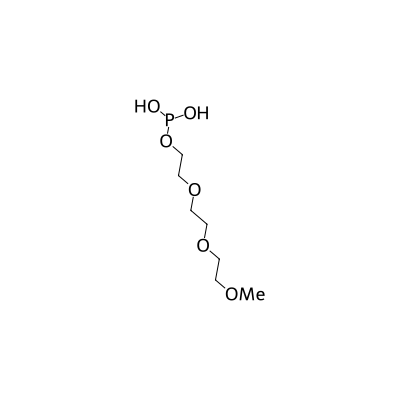 COCCOCCOCCOP(O)O